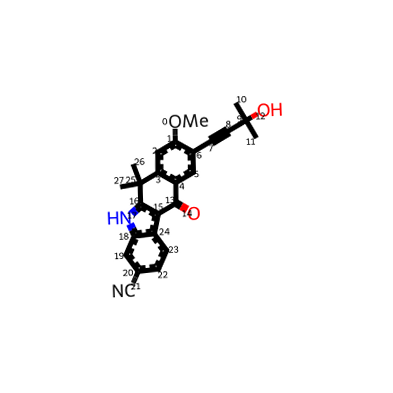 COc1cc2c(cc1C#CC(C)(C)O)C(=O)c1c([nH]c3cc(C#N)ccc13)C2(C)C